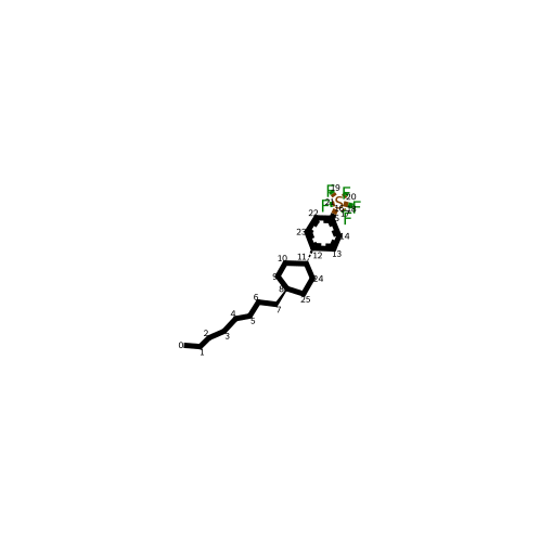 CCCCCCCC[C@H]1CC[C@H](c2ccc(S(F)(F)(F)(F)F)cc2)CC1